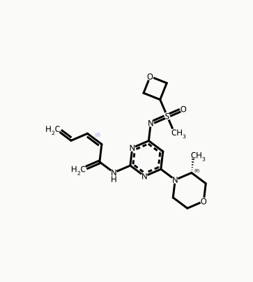 C=C/C=C\C(=C)Nc1nc(N=S(C)(=O)C2COC2)cc(N2CCOC[C@H]2C)n1